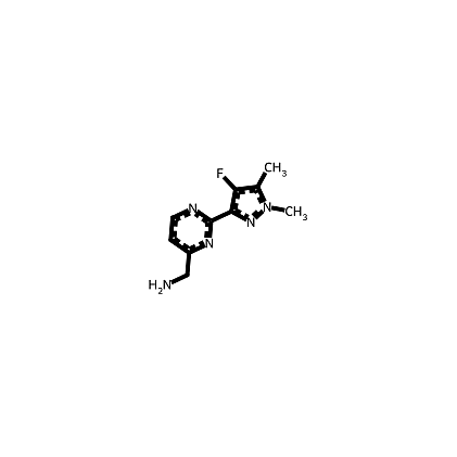 Cc1c(F)c(-c2nccc(CN)n2)nn1C